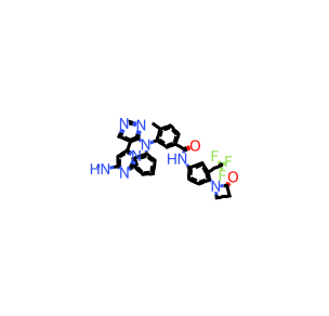 CNc1cc(-c2cncnc2N(c2ccccc2)c2cc(C(=O)Nc3ccc(N4CCC4=O)c(C(F)(F)F)c3)ccc2C)ncn1